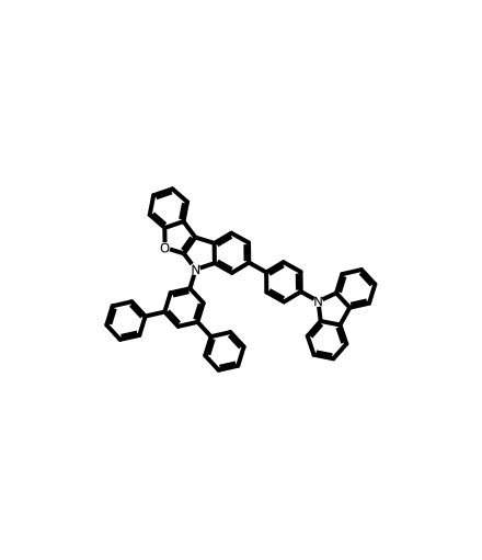 c1ccc(-c2cc(-c3ccccc3)cc(-n3c4cc(-c5ccc(-n6c7ccccc7c7ccccc76)cc5)ccc4c4c5ccccc5oc43)c2)cc1